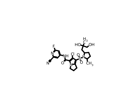 CC1CCC(CC(C)(O)CO)N1S(=O)(=O)c1c(Cl)c(C(=O)Nc2cc(F)nc(C#N)c2)n2c1CCC2